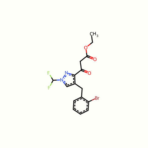 CCOC(=O)CC(=O)c1nn(C(F)F)cc1Cc1ccccc1Br